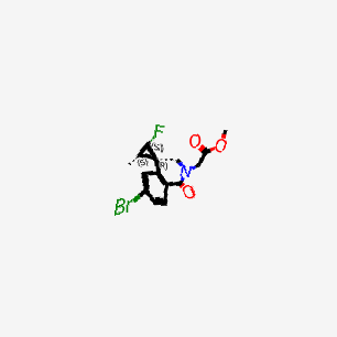 COC(=O)CN1C[C@]2(c3cc(Br)ccc3C1=O)[C@H](C)[C@@H]2F